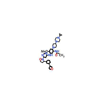 C=CC(=O)Nc1cc(Nc2cc(N3OCCC3c3cccc(-c4ccoc4)c3)ncn2)c(OC)cc1N1CCC(N2CCN(C3CC3)CC2)CC1